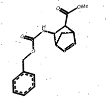 COC(=O)C1C2C=CC(C2)C1NC(=O)OCc1ccccc1